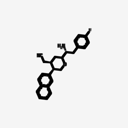 N#CC[C@H]1CC([C@H](N)Cc2ccc(F)cc2)OC[C@H]1c1ccc2ccccc2c1